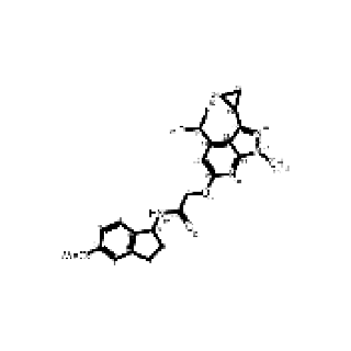 COc1ccc2c(c1)CCC2NC(=O)COc1cc(C(F)F)c2c(C3CC3)nn(C)c2n1